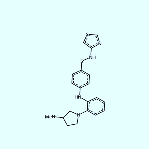 CNC1CCN(c2ccccc2Nc2ccc(SNc3cscn3)cc2)C1